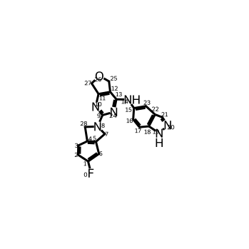 Fc1ccc2c(c1)CN(c1nc3c(c(Nc4ccc5[nH]ncc5c4)n1)COC3)C2